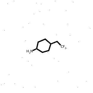 NC1CCC(CC(F)(F)F)CC1